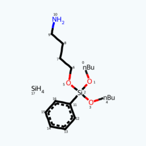 CCCCO[Si](OCCCC)(OCCCCN)c1ccccc1.[SiH4]